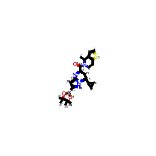 CC1c2ccsc2CCN1C(=O)c1cc(C2CC2)n2nc(B3OC(C)(C)C(C)(C)O3)cc2n1